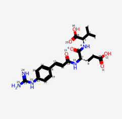 CC(C)[C@H](NC(=O)[C@H](CCC(=O)O)NC(=O)C=Cc1ccc(NC(=N)N)cc1)C(=O)O